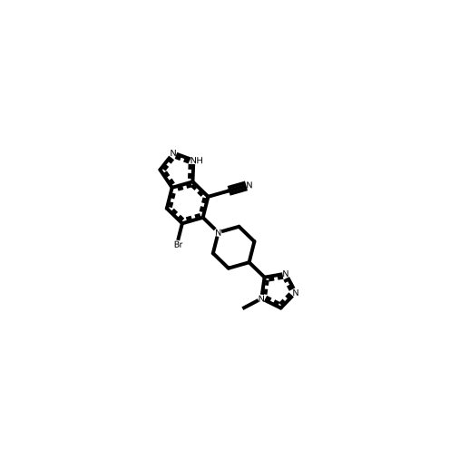 Cn1cnnc1C1CCN(c2c(Br)cc3cn[nH]c3c2C#N)CC1